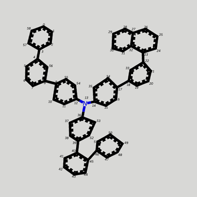 c1ccc(-c2cccc(-c3ccc(N(c4ccc(-c5cccc(-c6cccc7ccccc67)c5)cc4)c4ccc(-c5ccccc5-c5ccccc5)cc4)cc3)c2)cc1